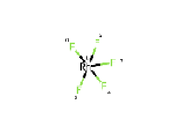 [F][Rh]([F])([F])([F])[F]